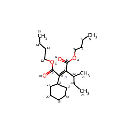 CCCCOC(=O)/C(=C(\C(=O)OCCCC)C1CCCCC1)C(C)CC